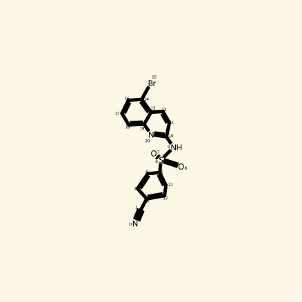 N#Cc1ccc(S(=O)(=O)Nc2ccc3c(Br)cccc3n2)cc1